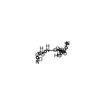 Cc1ncsc1-c1ccc(CNC(=O)C2C[C@@H](O)CN2C(=O)[C@@H](NC(=O)COCCCCCNc2ccc(C(=O)N[C@H]3C(C)(C)[C@H](Oc4ccc(C#N)c(Cl)c4)C3(C)C)cc2)C(C)C)cc1